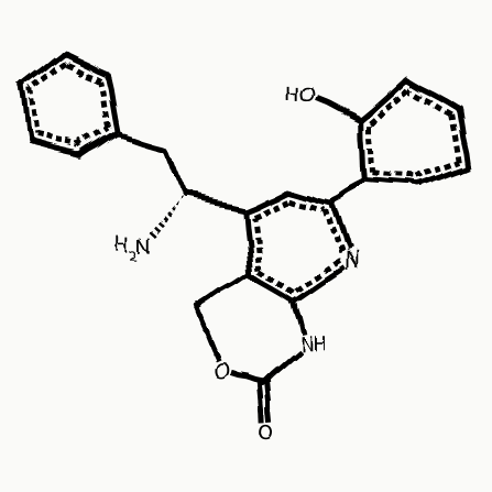 N[C@H](Cc1ccccc1)c1cc(-c2ccccc2O)nc2c1COC(=O)N2